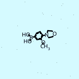 COc1cc(B(O)O)ccc1N1CCOCC1